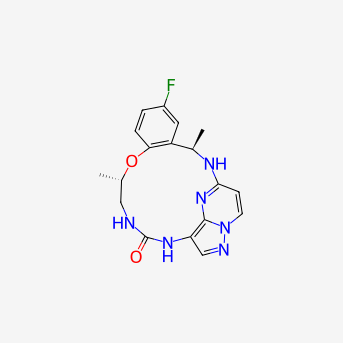 C[C@H]1CNC(=O)Nc2cnn3ccc(nc23)N[C@H](C)c2cc(F)ccc2O1